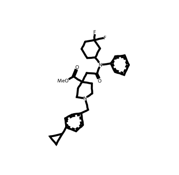 COC(=O)C1(CC(=O)N(c2ccccc2)C2CCCC(F)(F)C2)CCN(Cc2ccc(C3CC3)cc2)CC1